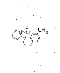 Cc1ccc2c(c1)C(c1ccccc1)(C(F)(F)F)CCC2